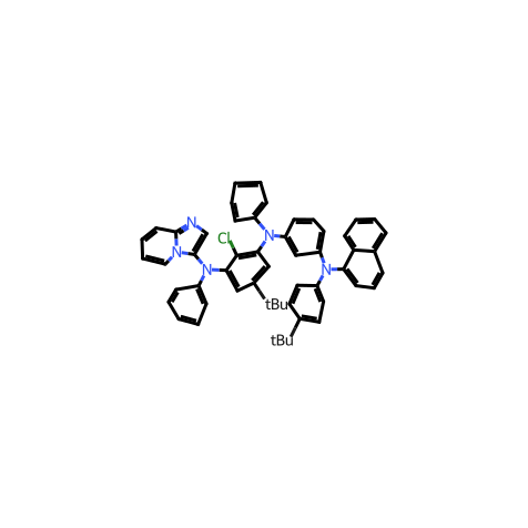 CC(C)(C)c1ccc(N(c2cccc(N(c3ccccc3)c3cc(C(C)(C)C)cc(N(c4ccccc4)c4cnc5ccccn45)c3Cl)c2)c2cccc3ccccc23)cc1